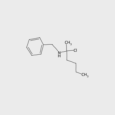 CCCCC(C)(Cl)NCc1ccccc1